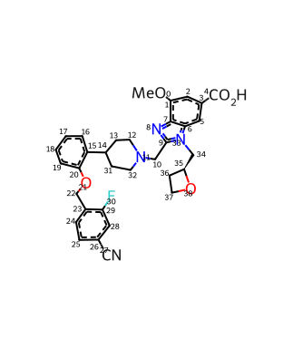 COc1cc(C(=O)O)cc2c1nc(CN1CCC(c3ccccc3OCc3ccc(C#N)cc3F)CC1)n2C[C@@H]1CCO1